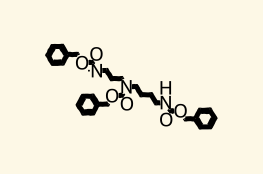 O=C([N]CCCN(CCCCNC(=O)OCc1ccccc1)C(=O)OCc1ccccc1)OCc1ccccc1